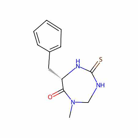 CN1CNC(=S)N[C@@H](Cc2ccccc2)C1=O